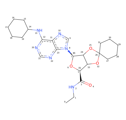 CCNC(=O)[C@H]1O[C@@H](n2cnc3c(NC4CCCCC4)ncnc32)C2OC3(CCCCC3)OC21